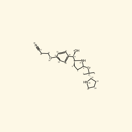 CC(C)(OC1CC[C@@H]([C@H](O)c2ccc(OCCC#N)cc2)N1)[C@@H]1CCCN1